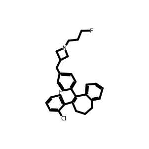 FCCCN1CC(Cc2ccc(C3=C(c4c(F)cccc4Cl)CCCc4ccccc43)cc2)C1